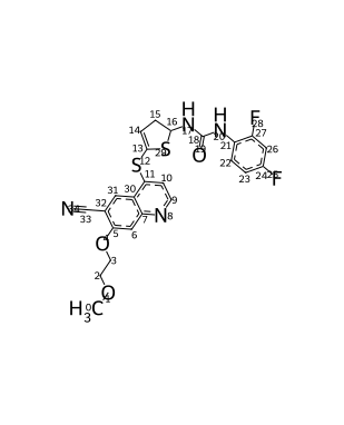 COCCOc1cc2nccc(SC3=CCC(NC(=O)Nc4ccc(F)cc4F)S3)c2cc1C#N